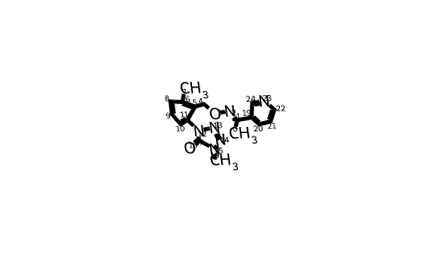 CC(=NOCc1c(C)cccc1-n1nnn(C)c1=O)c1cccnc1